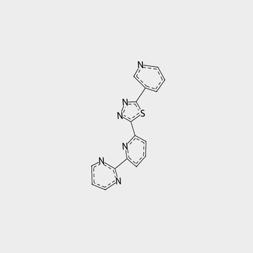 c1cnc(-c2cccc(-c3nnc(-c4cccnc4)s3)n2)nc1